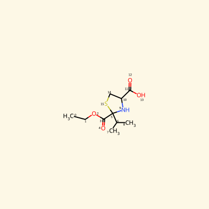 CCOC(=O)C1(C(C)C)NC(C(=O)O)CS1